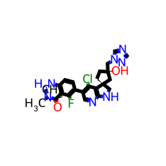 CN(C)C(=O)c1c(N)ccc(-c2cnc3c(c2Cl)[C@]2(CC[C@@](O)(Cn4cncn4)C2)CN3)c1F